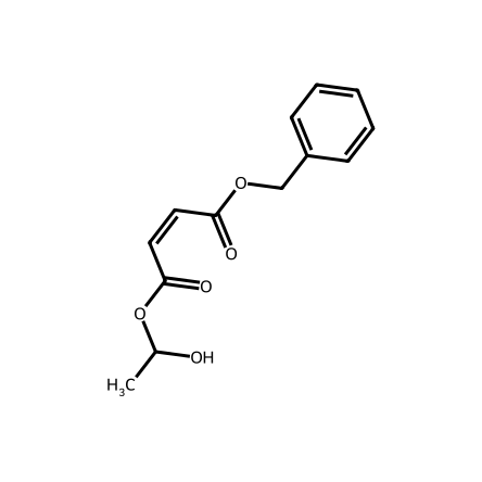 CC(O)OC(=O)/C=C\C(=O)OCc1ccccc1